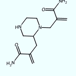 C=C(CC1CNCCN1CC(=C)C(N)=O)C(N)=O